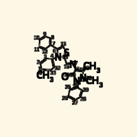 Cc1ccc(N2C(c3ccccc3)=CSC2C=Nc2c(C)n(C)n(-c3ccccc3)c2=O)cc1